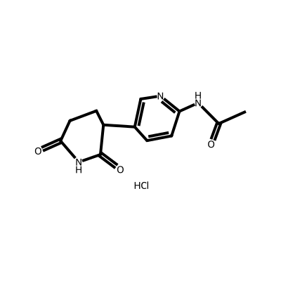 CC(=O)Nc1ccc(C2CCC(=O)NC2=O)cn1.Cl